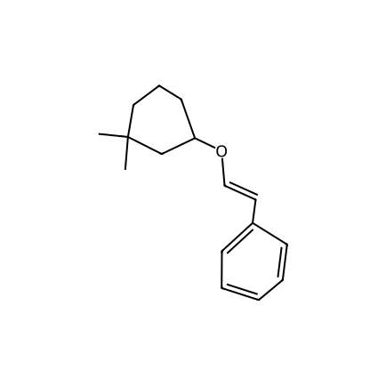 CC1(C)CCCC(OC=Cc2ccccc2)C1